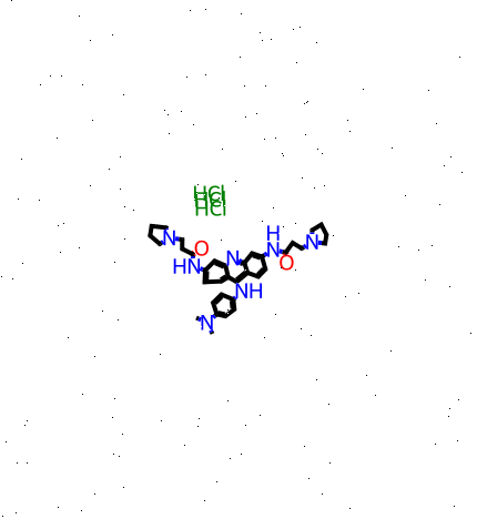 CN(C)c1ccc(Nc2c3ccc(NC(=O)CCN4CCCC4)cc3nc3cc(NC(=O)CCN4CCCC4)ccc23)cc1.Cl.Cl.Cl